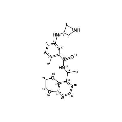 Cc1ccc(NC2CNC2)cc1C(=O)NC(C)c1cccc2c1OCCO2